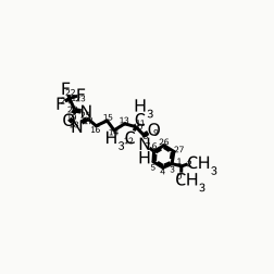 CC(C)c1ccc(NC(=O)C(C)(C)CCCCc2noc(C(F)(F)F)n2)cc1